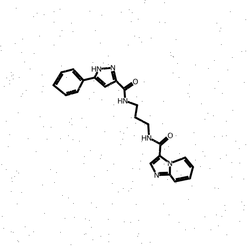 O=C(NCCCNC(=O)c1cnc2ccccn12)c1cc(-c2ccccc2)[nH]n1